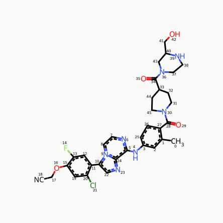 Cc1cc(Nc2nccn3c(-c4cc(F)c(OCC#N)cc4Cl)cnc23)ccc1C(=O)N1CCC(C(=O)N2CCNC(CO)C2)CC1